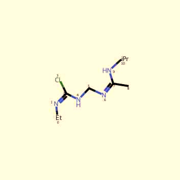 CC/N=C(/Cl)NCN=C(C)NC(C)C